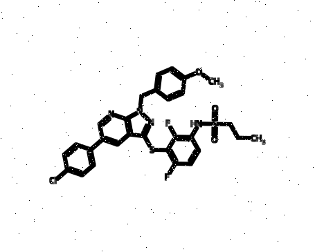 CCCS(=O)(=O)Nc1ccc(F)c(Sc2nn(Cc3ccc(OC)cc3)c3ncc(-c4ccc(Cl)cc4)cc23)c1F